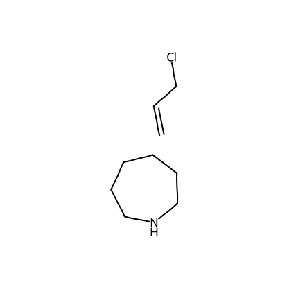 C1CCCNCC1.C=CCCl